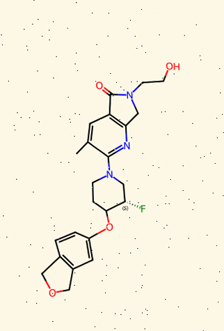 Cc1cc2c(nc1N1CCC(Oc3ccc4c(c3)COC4)[C@@H](F)C1)CN(CCO)C2=O